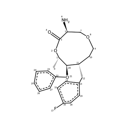 C[C@@H]1OC(=O)[C@@H](N)COCC[C@H](Cc2ccc(F)cc2)[C@H]1Oc1ccccc1